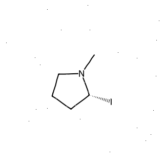 CN1CCC[C@H]1I